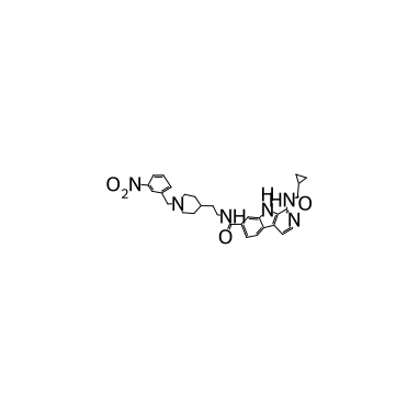 O=C(NCCC1CCN(Cc2cccc([N+](=O)[O-])c2)CC1)c1ccc2c(c1)[nH]c1c(NC(=O)C3CC3)nccc12